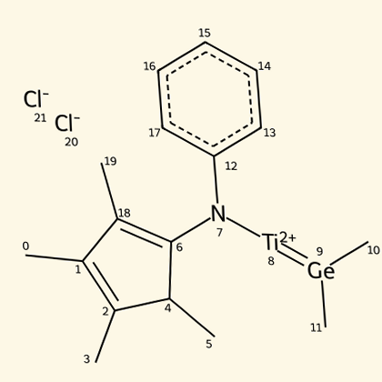 CC1=C(C)C(C)C([N]([Ti+2]=[Ge]([CH3])[CH3])c2ccccc2)=C1C.[Cl-].[Cl-]